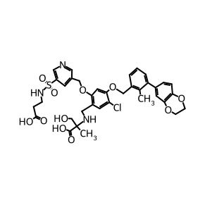 Cc1c(COc2cc(OCc3cncc(S(=O)(=O)NCCC(=O)O)c3)c(CNC(C)(CO)C(=O)O)cc2Cl)cccc1-c1ccc2c(c1)OCCO2